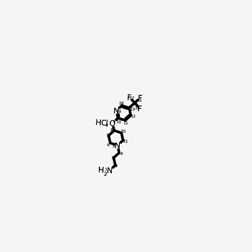 Cl.NCCCN1CCC(Oc2ccc(C(F)(F)F)cn2)CC1